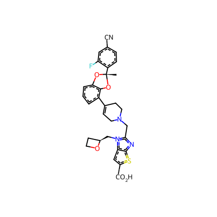 C[C@]1(c2ccc(C#N)cc2F)Oc2cccc(C3=CCN(Cc4nc5sc(C(=O)O)cc5n4C[C@@H]4CCO4)CC3)c2O1